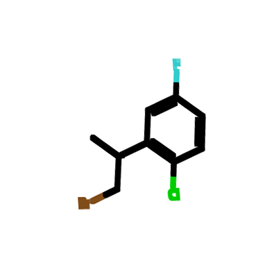 C[C](CBr)c1cc(F)ccc1Cl